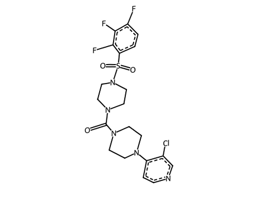 O=C(N1CCN(c2ccncc2Cl)CC1)N1CCN(S(=O)(=O)c2ccc(F)c(F)c2F)CC1